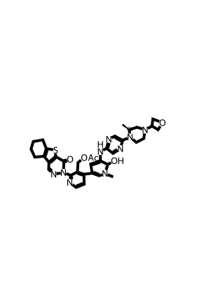 CC(=O)OCc1c(C2=CN(C)C(O)C(Nc3cnc(N4CCN(C5COC5)C[C@@H]4C)cn3)=C2)ccnc1-n1ncc2c3c(sc2c1=O)CCCC3